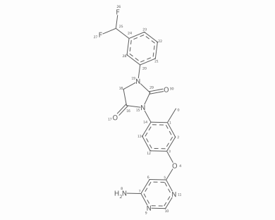 Cc1cc(Oc2cc(N)ncn2)ccc1N1C(=O)CN(c2cccc(C(F)F)c2)C1=O